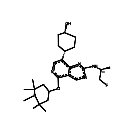 C[C@@H](CF)Nc1ncc2c(OC3CC(C)(C)N(C)C(C)(C)C3)ncc([C@H]3CC[C@H](O)CC3)c2n1